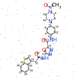 CC(=O)N1CCN(c2ccc(NC(=O)c3nnc(NC(=O)Cc4csc5ccccc45)o3)cc2)CC1